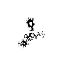 C[C@H](N)C(=O)N[C@H](C=CC(=O)Nc1cn[nH]c1)CCc1ccccc1